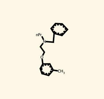 CCCN(CCOc1cccc(C)c1)Cc1ccccc1